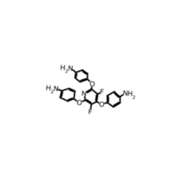 Nc1ccc(Oc2nc(Oc3ccc(N)cc3)c(F)c(Oc3ccc(N)cc3)c2F)cc1